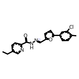 CCc1ccc(C(=O)N/N=C/c2ccc(-c3ccc(C)c(Cl)c3)o2)nc1